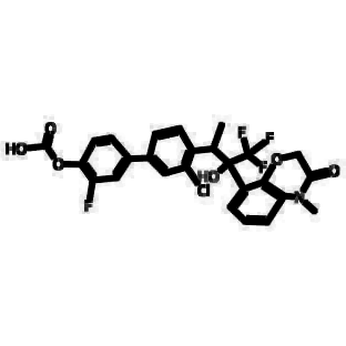 CC(c1ccc(-c2ccc(OC(=O)O)c(F)c2)cc1Cl)C(O)(c1cccc2c1OCC(=O)N2C)C(F)(F)F